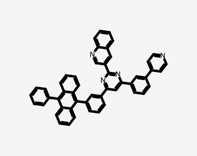 c1ccc(-c2c3ccccc3c(-c3cccc(-c4cc(-c5cccc(-c6ccncc6)c5)nc(-c5cnc6ccccc6c5)n4)c3)c3ccccc23)cc1